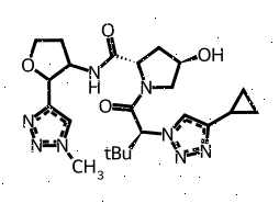 Cn1cc(C2OCCC2NC(=O)[C@@H]2C[C@@H](O)CN2C(=O)[C@@H](n2cc(C3CC3)nn2)C(C)(C)C)nn1